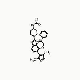 CCC(=O)NC1CCN(c2nc3ccc(-c4c(C)noc4C)c4c3n2[C@@H](c2ccccn2)CO4)CC1